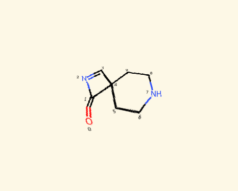 O=C1N=CC12CCNCC2